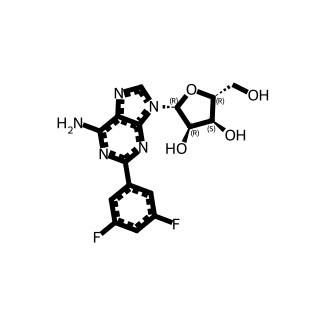 Nc1nc(-c2cc(F)cc(F)c2)nc2c1ncn2[C@@H]1O[C@H](CO)[C@@H](O)[C@H]1O